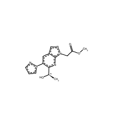 COC(=O)Cn1ncc2cc(-n3cccn3)c([C@@H](C)O)nc21